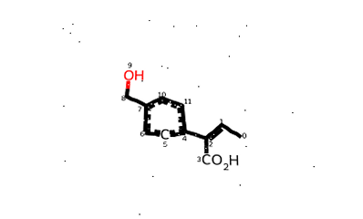 CC=C(C(=O)O)c1ccc(CO)cc1